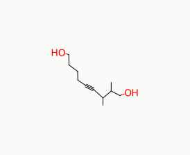 CC(C#CCCCCO)C(C)CO